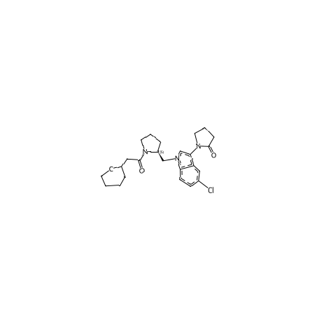 O=C1CCCN1c1cn(C[C@@H]2CCCN2C(=O)CC2CCCCC2)c2ccc(Cl)cc12